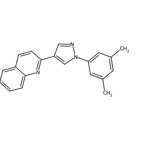 Cc1cc(C)cc(-n2cc(-c3ccc4ccccc4n3)cn2)c1